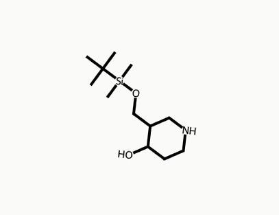 CC(C)(C)[Si](C)(C)OCC1CNCCC1O